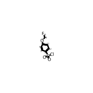 O=S(=O)(Cl)c1ccc(OCF)cc1